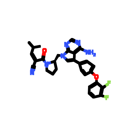 CC(C)/C=C(/C#N)C(=O)N1CCC[C@@H]1Cn1cc(-c2ccc(Oc3cccc(F)c3F)cc2)c2c(N)ncnc21